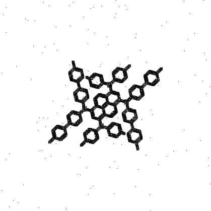 Cc1ccc(-c2ccc(N(c3ccc(-c4ccc(C)cc4)cc3)c3cc(N(c4ccc(C)cc4)c4ccc(C)cc4)c4ccc5c(N(c6ccc(-c7ccc(C)cc7)cc6)c6ccc(-c7ccc(C)cc7)cc6)cc(N(c6ccc(C)cc6)c6ccc(C)cc6)c6ccc3c4c65)cc2)cc1